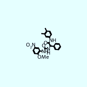 COc1ccc([N+](=O)[O-])cc1NC(=O)N[C@@H](C(=O)Nc1ccc(C)c(C)c1)c1ccccc1